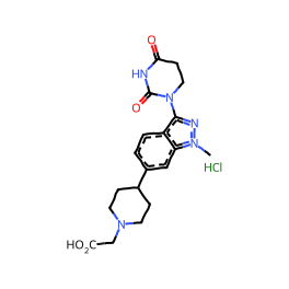 Cl.Cn1nc(N2CCC(=O)NC2=O)c2ccc(C3CCN(CC(=O)O)CC3)cc21